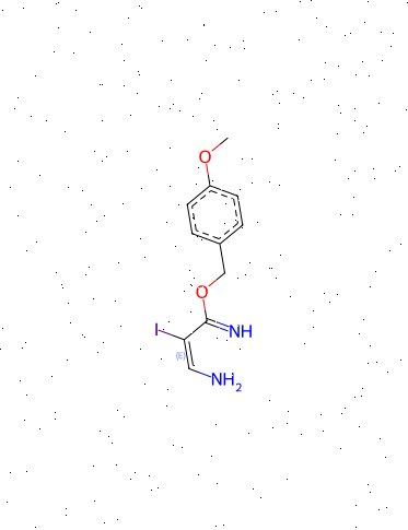 COc1ccc(COC(=N)/C(I)=C\N)cc1